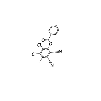 Cc1c(Cl)c(Cl)c(OC(=O)c2ccccc2)c(C#N)c1C#N